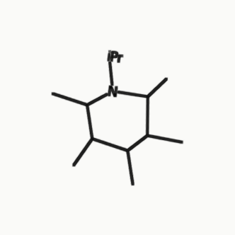 CC1C(C)C(C)N(C(C)C)C(C)C1C